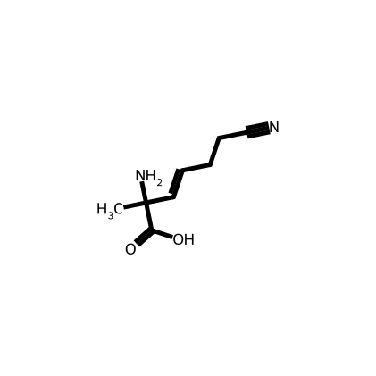 CC(N)(C=CCCC#N)C(=O)O